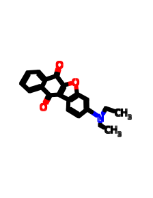 CCN(CC)c1ccc2c3c(oc2c1)C(=O)c1ccccc1C3=O